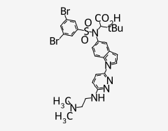 CN(C)CCNc1ccc(-n2ccc3cc(N(C(C(=O)O)C(C)(C)C)S(=O)(=O)c4cc(Br)cc(Br)c4)ccc32)nn1